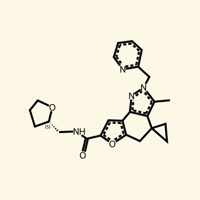 Cc1c2c(nn1Cc1ccccn1)-c1cc(C(=O)NC[C@@H]3CCCO3)oc1CC21CC1